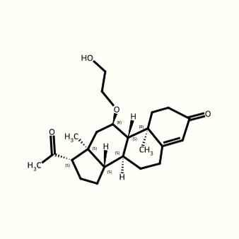 CC(=O)[C@H]1CC[C@H]2[C@@H]3CCC4=CC(=O)CC[C@]4(C)[C@H]3[C@H](OCCO)C[C@]12C